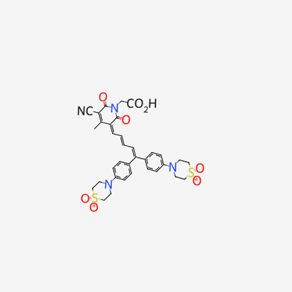 CC1=C(C#N)C(=O)N(CC(=O)O)C(=O)/C1=C\C=C\C=C(c1ccc(N2CCS(=O)(=O)CC2)cc1)c1ccc(N2CCS(=O)(=O)CC2)cc1